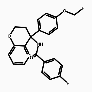 O=C(NC1(c2ccc(OCF)cc2)CCOc2cccnc21)c1ccc(F)cc1